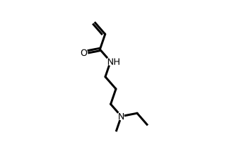 C=CC(=O)NCCCN(C)CC